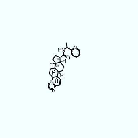 CC(NC(=O)[C@@H]1CC[C@H]2[C@@H]3CCC4[C@H](C=Cc5nccn54)[C@H]3CC[C@@H]21)c1ccccn1